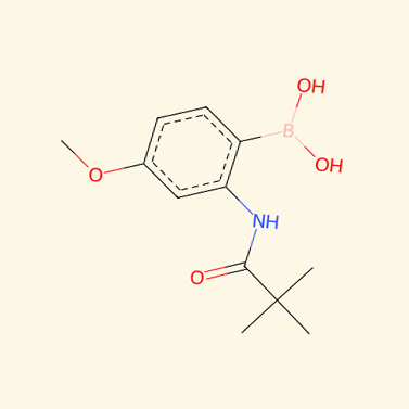 COc1ccc(B(O)O)c(NC(=O)C(C)(C)C)c1